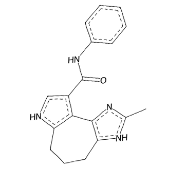 Cc1nc2c([nH]1)CCCc1[nH]cc(C(=O)Nc3ccccc3)c1-2